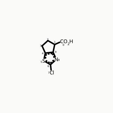 O=C(O)C1CCc2sc(Cl)nc21